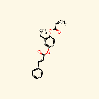 C=CC(=O)Oc1ccc(OC(=O)/C=C/c2ccccc2)cc1CC